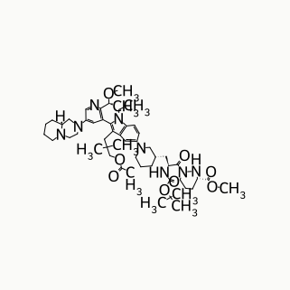 CCn1c(-c2cc(N3CCN4CCCC[C@@H]4C3)cnc2[C@H](C)OC)c(CC(C)(C)COC(C)=O)c2cc(N3CCC[C@@H](C[C@H](NC(=O)OC(C)(C)C)C(=O)N4CCC[C@@H](C(=O)OC)N4)C3)ccc21